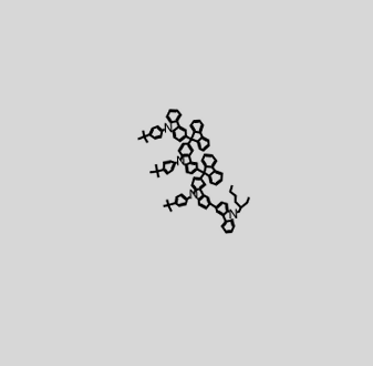 CCCCC(CC)Cn1c2ccccc2c2cc(-c3ccc4c(c3)c3cc(C5(c6ccc7c(c6)c6cc(C8(c9ccc%10c(c9)c9ccccc9n%10-c9ccc(C(C)(C)C)cc9)c9ccccc9-c9ccccc98)ccc6n7-c6ccc(C(C)(C)C)cc6)c6ccccc6-c6ccccc65)ccc3n4-c3ccc(C(C)(C)C)cc3)ccc21